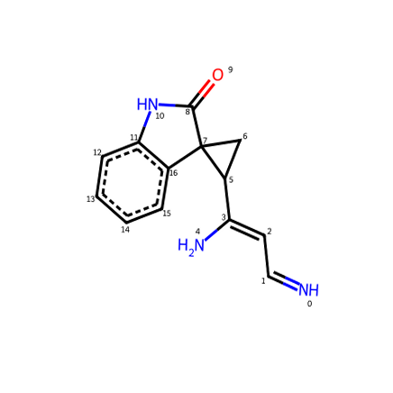 N=CC=C(N)C1CC12C(=O)Nc1ccccc12